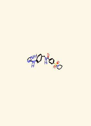 O=C(NCc1ccc(NC2=NCCN2)cc1)c1ccc(S(=O)(=O)N2CCCCC2)cc1